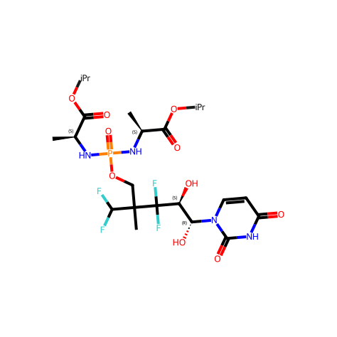 CC(C)OC(=O)[C@H](C)NP(=O)(N[C@@H](C)C(=O)OC(C)C)OCC(C)(C(F)F)C(F)(F)[C@@H](O)[C@@H](O)n1ccc(=O)[nH]c1=O